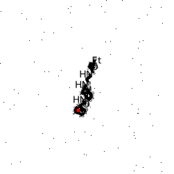 CCc1ccc(CNCCCNc2ccc3c(NC(=O)CC45CC6CC(CC(C6)C4)C5)cccc3n2)o1